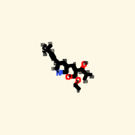 CCOC(=O)C(=Cc1cncc(C#C[Si](C)(C)C)c1)C(=O)C(C)C